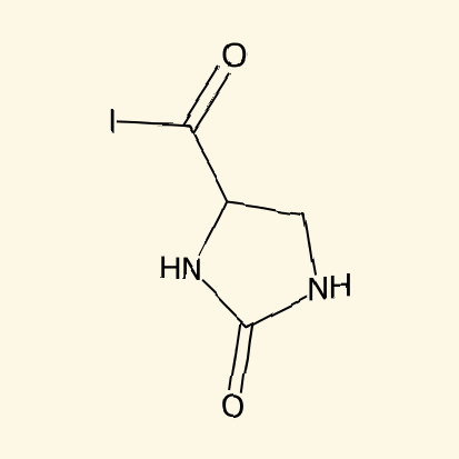 O=C1NCC(C(=O)I)N1